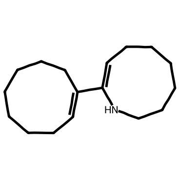 C1=C(C2=CCCCCCCN2)CCCCCCC1